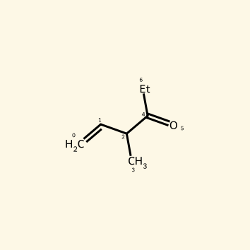 C=CC(C)C(=O)CC